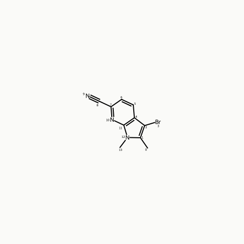 Cc1c(Br)c2ccc(C#N)nc2n1C